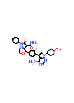 NC(=O)c1c2n(n(-c3ccccc3)c1=O)CCOC2c1ccc(-c2cn(C3CCC(O)CC3)c3ncnc(N)c23)c(F)c1